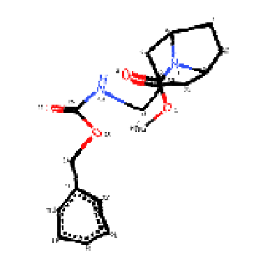 CC(C)(C)OC(=O)N1C2CCC1CC(CNC(=O)OCc1ccccc1)C2